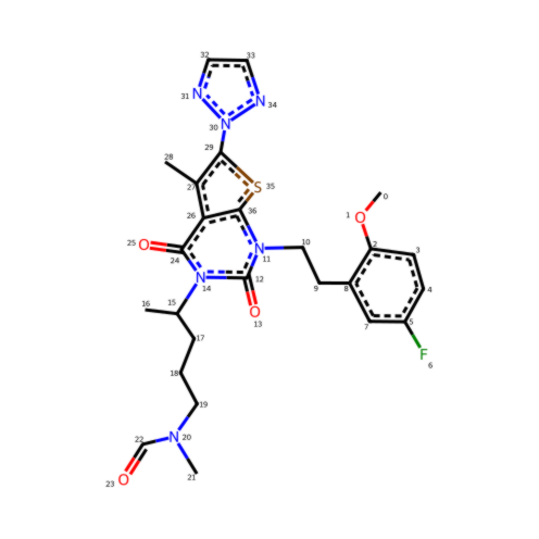 COc1ccc(F)cc1CCn1c(=O)n(C(C)CCCN(C)C=O)c(=O)c2c(C)c(-n3nccn3)sc21